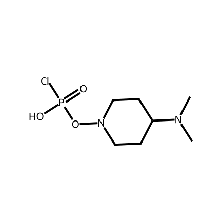 CN(C)C1CCN(OP(=O)(O)Cl)CC1